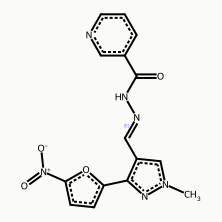 Cn1cc(/C=N/NC(=O)c2cccnc2)c(-c2ccc([N+](=O)[O-])o2)n1